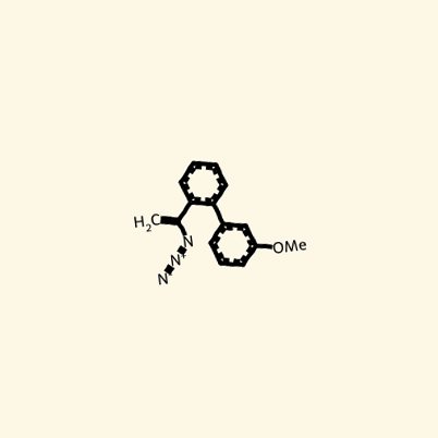 C=C(N=[N+]=[N-])c1ccccc1-c1cccc(OC)c1